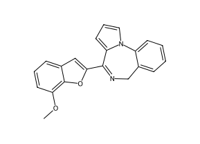 COc1cccc2cc(C3=NCc4ccccc4-n4cccc43)oc12